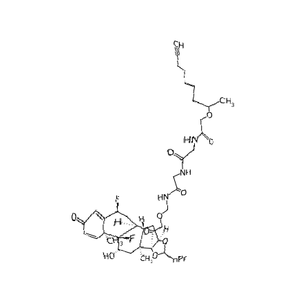 C#CCCCCCC(C)OCC(=O)NCC(=O)NCC(=O)NCOCC(=O)[C@@]12OC(CCC)O[C@@H]1C[C@H]1[C@@H]3C[C@H](F)C4=CC(=O)C=C[C@]4(C)[C@@]3(F)[C@@H](O)C[C@@]12C